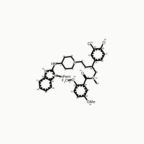 CCCCCn1c(NC2CCN(CCC(CN(C)C(=O)c3cc(OC)ccc3OC(F)(F)F)c3ccc(Cl)c(Cl)c3)CC2)nc2ccccc21